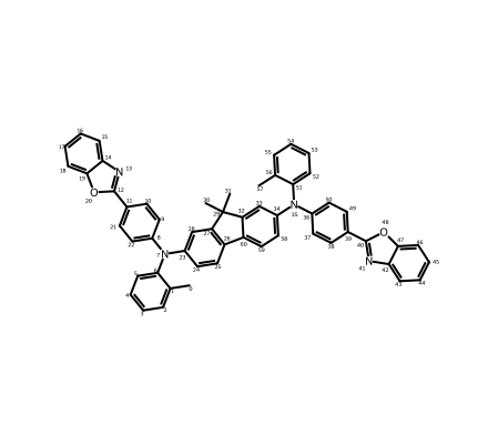 Cc1ccccc1N(c1ccc(-c2nc3ccccc3o2)cc1)c1ccc2c(c1)C(C)(C)c1cc(N(c3ccc(-c4nc5ccccc5o4)cc3)c3ccccc3C)ccc1-2